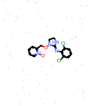 [O-][n+]1ccccc1CON1CCN/C1=N\c1c(Cl)cccc1Cl